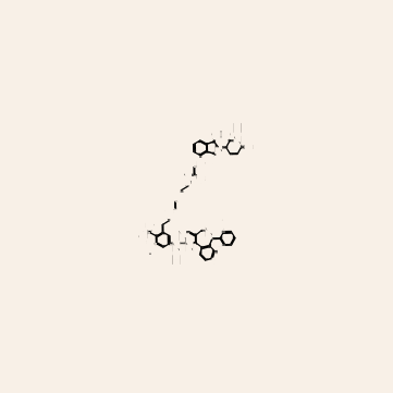 COc1cccc(F)c1C1=NCc2cnc(Nc3cc(CCOCCOCCNC(=O)COc4cccc5c4C(=O)N(C4CCC(=O)NC4=O)C5=O)c(C(=O)O)c(OC)c3)nc2-c2ccc(Cl)cc21